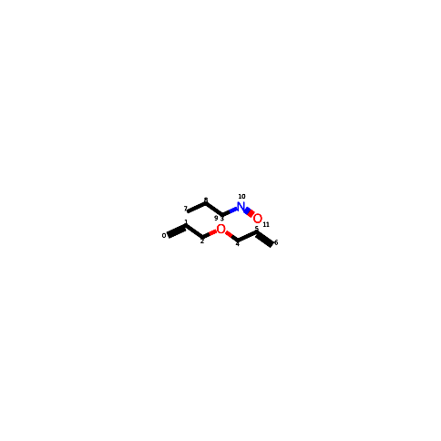 C=CCOCC=C.CCCN=O